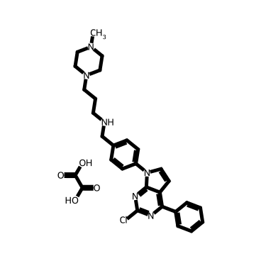 CN1CCN(CCCNCc2ccc(-n3ccc4c(-c5ccccc5)nc(Cl)nc43)cc2)CC1.O=C(O)C(=O)O